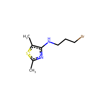 Cc1nc(NCCCBr)c(C)s1